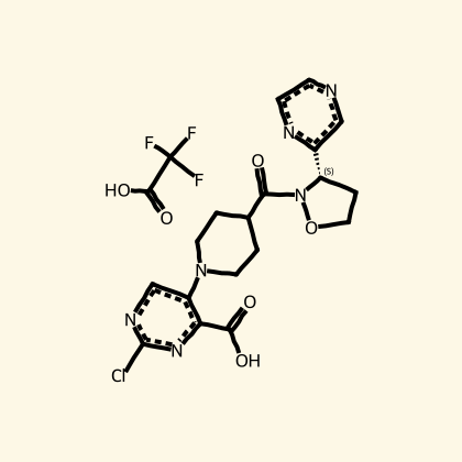 O=C(O)C(F)(F)F.O=C(O)c1nc(Cl)ncc1N1CCC(C(=O)N2OCC[C@H]2c2cnccn2)CC1